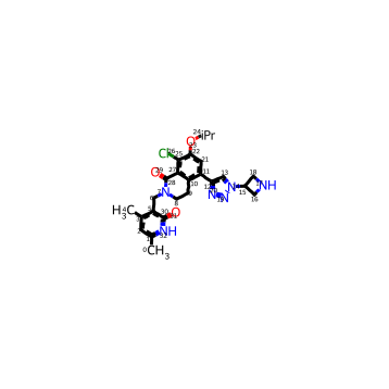 Cc1cc(C)c(CN2CCc3c(-c4cn(C5CNC5)nn4)cc(OC(C)C)c(Cl)c3C2=O)c(=O)[nH]1